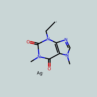 [Ag].[CH]Cn1c(=O)n(C)c(=O)c2c1ncn2C